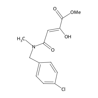 COC(=O)C(O)=CC(=O)N(C)Cc1ccc(Cl)cc1